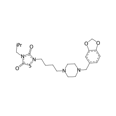 CC(C)Cn1c(=O)sn(CCCCN2CCN(Cc3ccc4c(c3)OCO4)CC2)c1=O